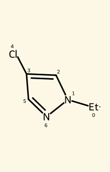 C[CH]n1cc(Cl)cn1